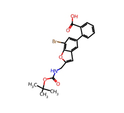 CC(C)(C)OC(=O)NCc1cc2cc(-c3ccccc3C(=O)O)cc(Br)c2o1